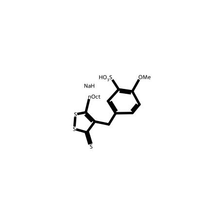 CCCCCCCCc1ssc(=S)c1Cc1ccc(OC)c(S(=O)(=O)O)c1.[NaH]